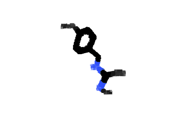 COc1ccc(CN/C(=N/C#N)SC)cc1